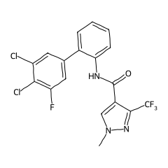 Cn1cc(C(=O)Nc2ccccc2-c2cc(F)c(Cl)c(Cl)c2)c(C(F)(F)F)n1